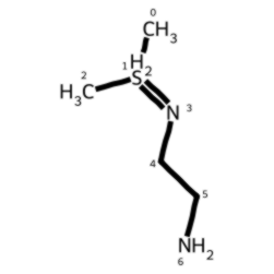 C[SH2](C)=NCCN